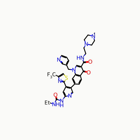 CCNC(=O)Nc1cc(-c2nc(C(F)(F)F)cs2)c(-c2ccc3c(=O)c(C(=O)NCCN4CCN(C)CC4)cn(Cc4cccnc4)c3c2)cn1